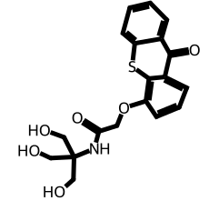 O=C(COc1cccc2c(=O)c3ccccc3sc12)NC(CO)(CO)CO